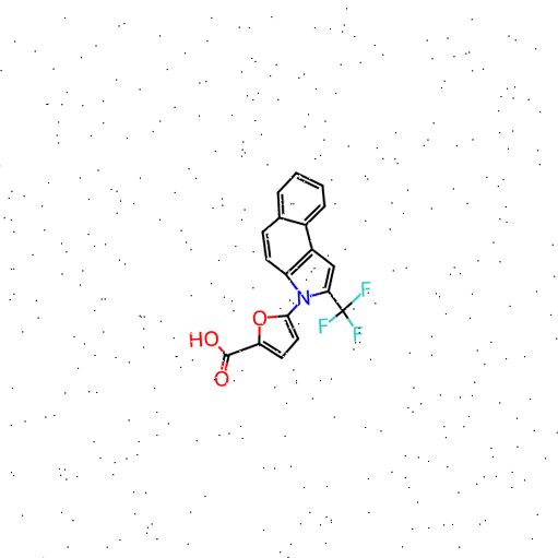 O=C(O)c1ccc(-n2c(C(F)(F)F)cc3c4ccccc4ccc32)o1